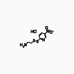 Cl.NCCSSc1ccc([N+](=O)[O-])cn1